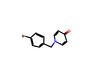 O=c1ccn(Cc2ccc(Br)cc2)cc1